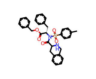 Cc1ccc(S(=O)(=O)N(C(=O)C2Cc3ccccc3CN2)[C@@H](Cc2ccccc2)C(=O)OCc2ccccc2)cc1